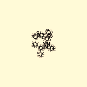 c1ccc(-c2cc(-c3ccccc3)cc(-c3nc(-c4ccccc4)nc(-c4cc(-c5ccc6sc7ccccc7c6c5)c5c(c4)oc4ccccc45)n3)c2)cc1